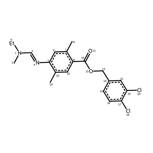 CCN(C)/C=N/c1cc(C)c(C(=O)OCc2ccc(Cl)c(Cl)c2)cc1C